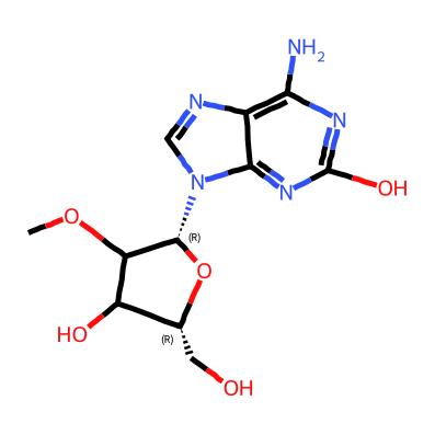 COC1C(O)[C@@H](CO)O[C@H]1n1cnc2c(N)nc(O)nc21